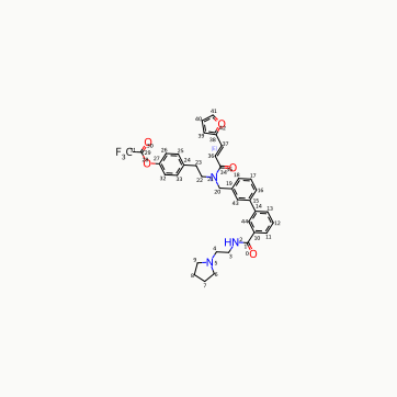 O=C(NCCN1CCCC1)c1cccc(-c2cccc(CN(CCc3ccc(OC(=O)C(F)(F)F)cc3)C(=O)/C=C/c3ccco3)c2)c1